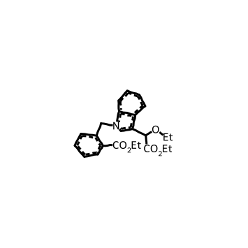 CCOC(=O)c1ccccc1Cn1cc(C(OCC)C(=O)OCC)c2ccccc21